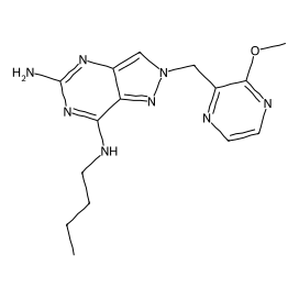 CCCCNc1nc(N)nc2cn(Cc3nccnc3OC)nc12